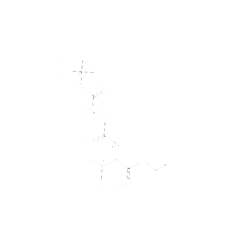 CCOC(=O)[C@@H](NC(=O)CNC(=O)OC(C)(C)C)C(C)C